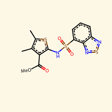 COC(=O)c1c(NS(=O)(=O)c2cccc3nsnc23)sc(C)c1C